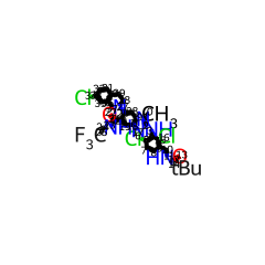 Cn1c(Nc2c(Cl)ccc(CNC(=O)C(C)(C)C)c2Cl)nc2cc(C(=O)NCC(F)(F)F)c(N3CCc4ccc(Cl)cc4C3)cc21